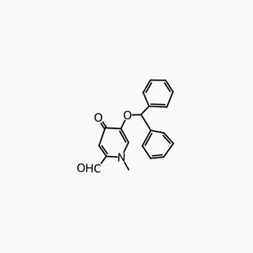 Cn1cc(OC(c2ccccc2)c2ccccc2)c(=O)cc1C=O